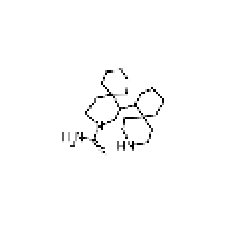 NC(=S)N1CCC2(CCCCC2)C(C2CCCCC23CCNCC3)C1